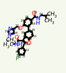 CNC(=O)c1c(-c2ccc(F)cc2)oc2ccc(-c3cc(C(=O)NCC(C)C)ccc3OCc3cn(C)cn3)cc12